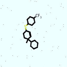 CC1(C2CCCCC2)C=CC(SC2CCC(C(F)(F)F)CC2)CC1